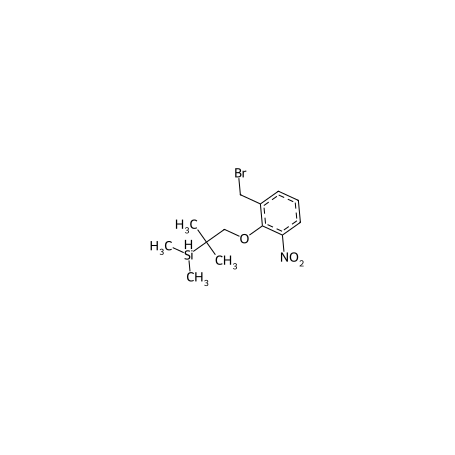 C[SiH](C)C(C)(C)COc1c(CBr)cccc1[N+](=O)[O-]